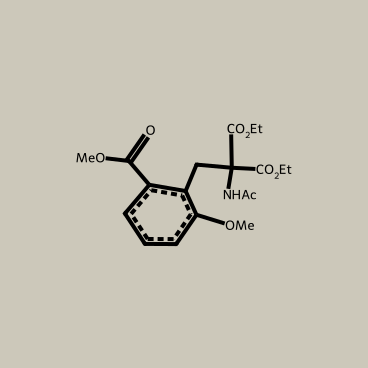 CCOC(=O)C(Cc1c(OC)cccc1C(=O)OC)(NC(C)=O)C(=O)OCC